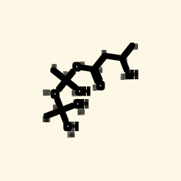 CC(S)CC(=O)OC(C)(O)OC(C)(O)O